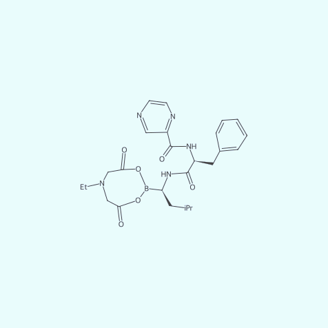 CCN1CC(=O)OB([C@H](CC(C)C)NC(=O)[C@H](Cc2ccccc2)NC(=O)c2cnccn2)OC(=O)C1